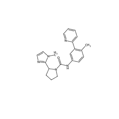 Cc1ccc(NC(=O)N2CCCC2c2nccn2C)cc1-c1ccccn1